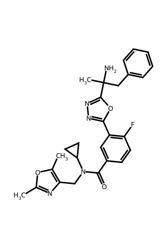 Cc1nc(CN(C(=O)c2ccc(F)c(-c3nnc(C(C)(N)Cc4ccccc4)o3)c2)C2CC2)c(C)o1